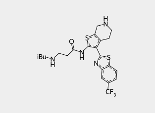 CCC(C)NCCC(=O)Nc1sc2c(c1-c1nc3cc(C(F)(F)F)ccc3s1)CCNC2